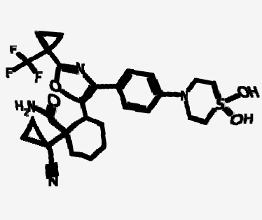 N#CC1(C2(C(N)=O)CCCCC2c2oc(C3(C(F)(F)F)CC3)nc2-c2ccc(N3CCS(O)(O)CC3)cc2)CC1